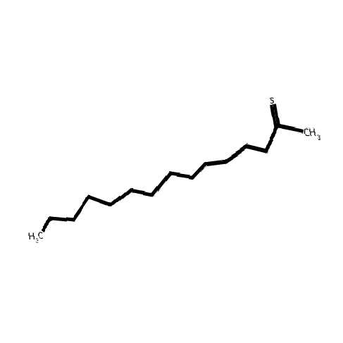 CCCCCCCCCCCCCC(C)=S